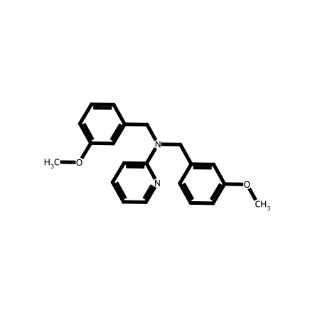 COc1cccc(CN(Cc2cccc(OC)c2)c2ccccn2)c1